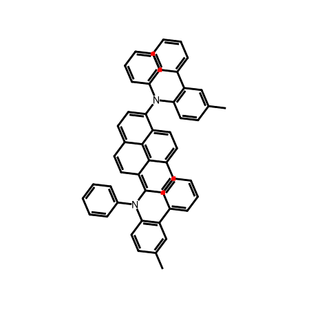 Cc1ccc(N(c2ccccc2)c2ccc3ccc4c(N(c5ccccc5)c5ccc(C)cc5-c5ccccc5)ccc5ccc2c3c54)c(-c2ccccc2)c1